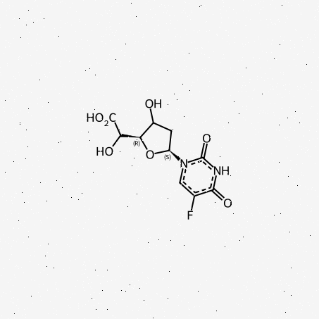 O=C(O)C(O)[C@@H]1O[C@H](n2cc(F)c(=O)[nH]c2=O)CC1O